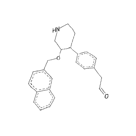 O=CCc1ccc(C2CCNCC2OCc2ccc3ccccc3c2)cc1